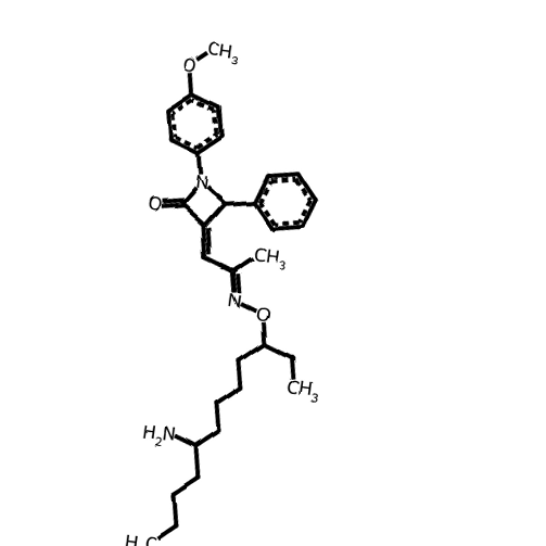 CCCCC(N)CCCCC(CC)ON=C(C)/C=C1/C(=O)N(c2ccc(OC)cc2)C1c1ccccc1